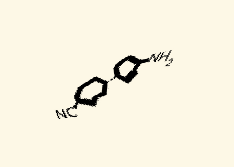 N#C[C@H]1CC[C@H](c2ccc(N)cc2)CC1